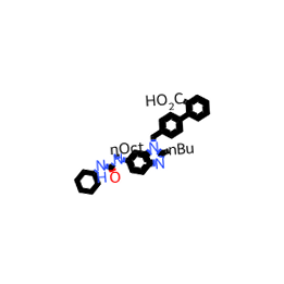 CCCCCCCCN(C(=O)NC1CCCCC1)c1ccc2nc(CCCC)n(Cc3ccc(-c4ccccc4C(=O)O)cc3)c2c1